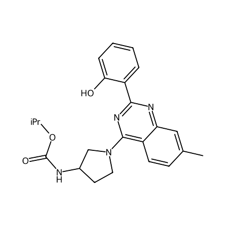 Cc1ccc2c(N3CCC(NC(=O)OC(C)C)C3)nc(-c3ccccc3O)nc2c1